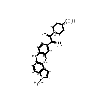 C=C(C(=O)N1CCC(C(=O)O)CC1)c1ccc(Sc2ccc3c(ccn3C)c2)c(Cl)c1